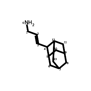 NCC=CC1C2CC3CC(C2)CC1C3